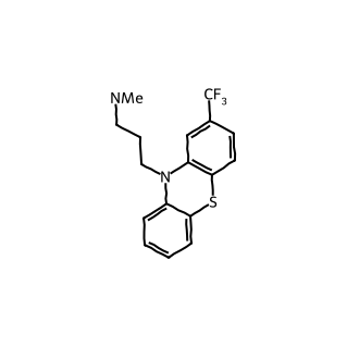 CNCCCN1c2ccccc2Sc2ccc(C(F)(F)F)cc21